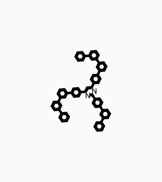 c1ccc(-c2cccc(-c3ccc(-c4nc(-c5ccc(-c6cccc(-c7cccc(-c8ccccc8)c7)c6)cc5)cc(-c5ccc(-c6cccc(-c7cccc(-c8ccccc8)c7)c6)cc5)n4)cc3)c2)cc1